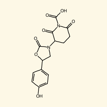 O=C(O)N1C(=O)CCC(N2CC(c3ccc(O)cc3)OC2=O)C1=O